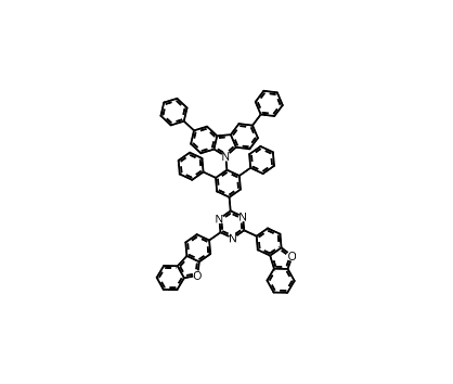 c1ccc(-c2ccc3c(c2)c2cc(-c4ccccc4)ccc2n3-c2c(-c3ccccc3)cc(-c3nc(-c4ccc5c(c4)oc4ccccc45)nc(-c4ccc5oc6ccccc6c5c4)n3)cc2-c2ccccc2)cc1